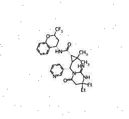 CCC1(CC)CC(=O)N([C@H](c2cccnc2)C2[C@H](C(=O)N[C@H]3CC(C(F)(F)F)Oc4ccccc43)C2(C)C)C(=N)N1